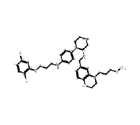 COCCCN1CCOc2ccc(CO[C@H]3CNCC[C@@H]3c3ccc(NCCCOc4cc(F)ccc4F)cc3)cc21